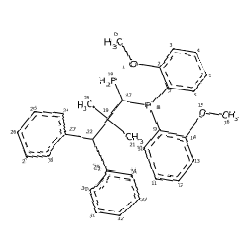 COc1ccccc1P(c1ccccc1OC)C(P)C(C)(C)C(c1ccccc1)c1ccccc1